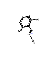 CCC(C)c1cccc(Cl)c1/C=N/O